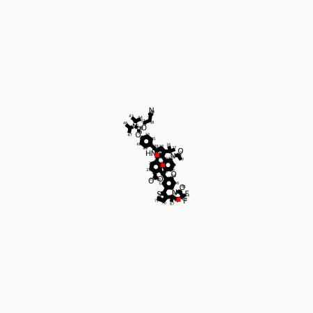 CC(=O)N1c2cc3c(cc2-c2sccc2C1(C)C)C1(OC(=O)c2ccc(C(=O)NCc4ccc(OP(OCCC#N)N(C(C)C)C(C)C)cc4)cc21)c1cc2c(cc1O3)N(C(=O)C(F)(F)F)C(C)(C)c1ccsc1-2